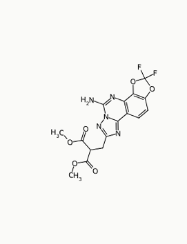 COC(=O)C(Cc1nc2c3ccc4c(c3nc(N)n2n1)OC(F)(F)O4)C(=O)OC